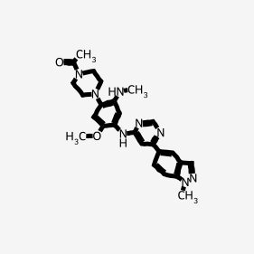 CNc1cc(Nc2cc(-c3ccc4c(cnn4C)c3)ncn2)c(OC)cc1N1CCN(C(C)=O)CC1